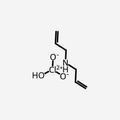 C=CCNCC=C.[O-][Cl+2]([O-])O